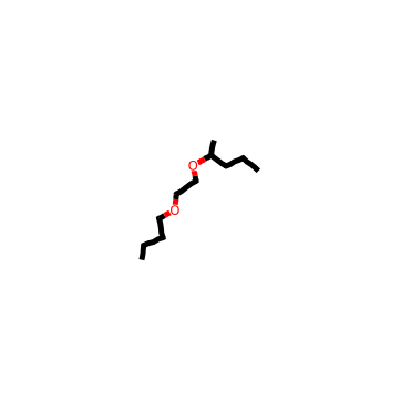 CCCCOCCOC(C)CCC